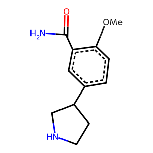 COc1ccc(C2CCNC2)cc1C(N)=O